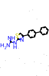 N=C(N)Nc1nc(-c2ccc(-c3ccccc3)cc2)cs1